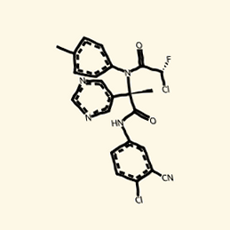 Cc1ccc(N(C(=O)[C@H](F)Cl)[C@](C)(C(=O)Nc2ccc(Cl)c(C#N)c2)c2cncnc2)cc1